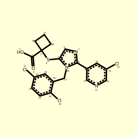 O=C(O)C1(Sc2cnc(-c3cncc(Cl)c3)n2Cc2cc(Cl)ccc2Cl)CCC1